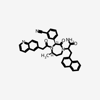 C[C@@H]1CCN(C(Cc2cccc3ccccc23)C(N)=O)C(=O)[C@H](c2cccc(C#N)c2)N1C(=O)Cc1ccc2ncccc2c1